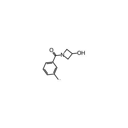 [CH2]c1cccc(C(=O)N2CC(O)C2)c1